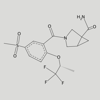 C[C@@H](Oc1ccc(S(C)(=O)=O)cc1C(=O)N1CC2CC2(C(N)=O)C1)C(F)(F)F